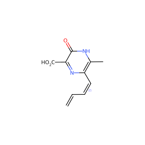 C=C/C=C\c1nc(C(=O)O)c(=O)[nH]c1C